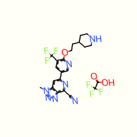 Cn1nnc2c(C#N)nc(-c3cnc(OCCC4CCNCC4)c(C(F)(F)F)c3)cc21.O=C(O)C(F)(F)F